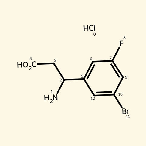 Cl.NC(CC(=O)O)c1cc(F)cc(Br)c1